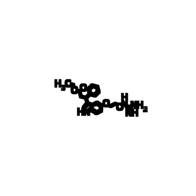 CCOC(=O)CC(c1ccccc1)c1c[nH]c2ccc(OCCONC(=N)N)cc12